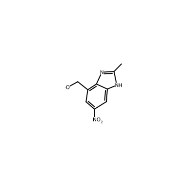 Cc1nc2c(C[O])cc([N+](=O)[O-])cc2[nH]1